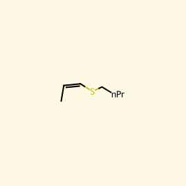 C/C=C\SCCCC